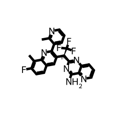 Cc1ncccc1-c1nc2c(C)c(F)ccc2cc1[C@H](c1nc(N)c2ncccc2n1)C(F)(F)F